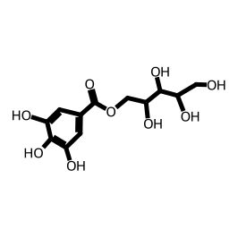 O=C(OCC(O)C(O)C(O)CO)c1cc(O)c(O)c(O)c1